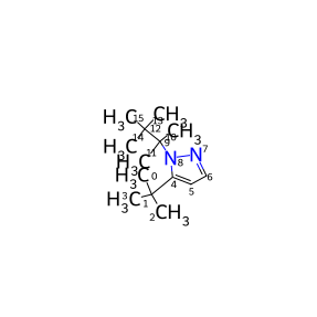 CC(C)(C)c1ccnn1C(C)(C)C(C)(C)C